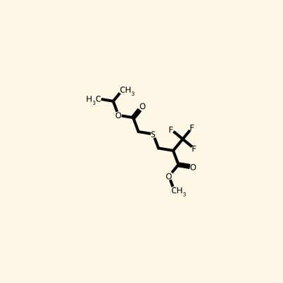 COC(=O)C(CSCC(=O)OC(C)C)C(F)(F)F